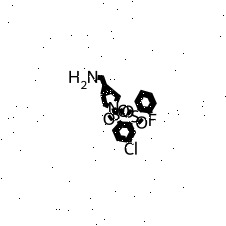 NCC1C2CN(S(=O)(=O)c3ccc(Cl)cc3S(=O)(=O)c3ccccc3F)CC12